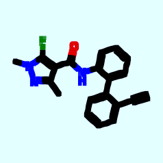 C#Cc1ccccc1-c1ccccc1NC(=O)c1c(C)nn(C)c1F